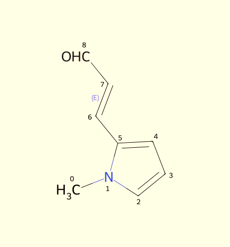 Cn1cccc1/C=C/C=O